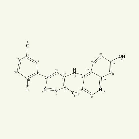 Cc1nnc(-c2cc(Cl)ccc2F)cc1Nc1ccnc2cc(O)ccc12